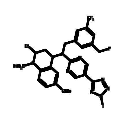 CCOC(=O)N1c2ccc(OC)cc2C(N(Cc2cc(CF)cc(C(F)(F)F)c2)c2ncc(-c3nnn(I)n3)cn2)CC1CC